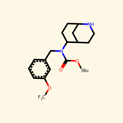 CC(C)(C)OC(=O)N(Cc1cccc(OC(F)(F)F)c1)C1CCC2CC1CCN2